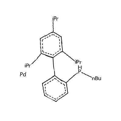 CCCCPc1ccccc1-c1c(C(C)C)cc(C(C)C)cc1C(C)C.[Pd]